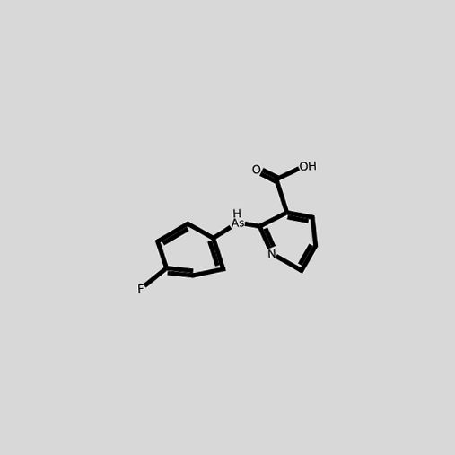 O=C(O)c1cccnc1[AsH]c1ccc(F)cc1